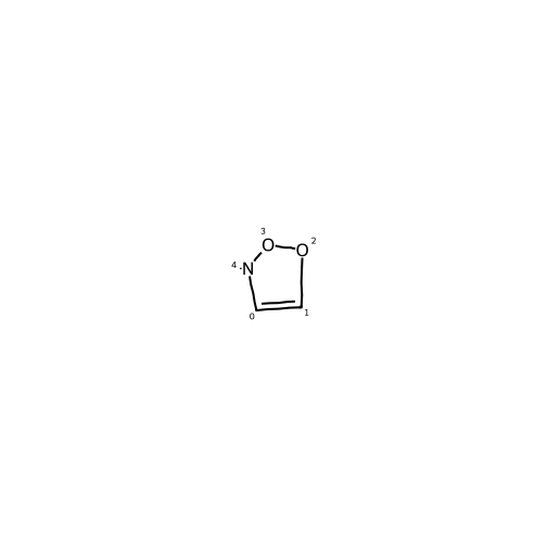 C1=COO[N]1